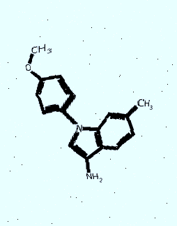 COc1ccc(-n2cc(N)c3ccc(C)cc32)cc1